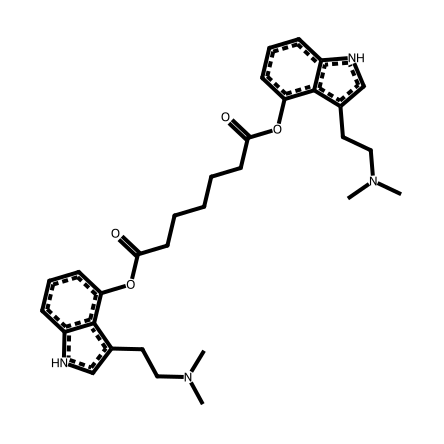 CN(C)CCc1c[nH]c2cccc(OC(=O)CCCCCC(=O)Oc3cccc4[nH]cc(CCN(C)C)c34)c12